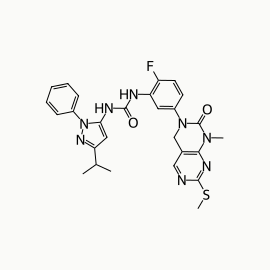 CSc1ncc2c(n1)N(C)C(=O)N(c1ccc(F)c(NC(=O)Nc3cc(C(C)C)nn3-c3ccccc3)c1)C2